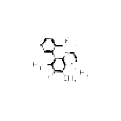 Cc1c(C)c2c3c(c1C)N(C)C=CB3N(C)c1ccccc1-2